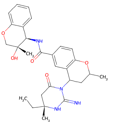 CC[C@]1(C)CC(=O)N(C2CC(C)Oc3ccc(C(=O)N[C@@H]4c5ccccc5OC[C@@]4(C)O)cc32)C(=N)N1